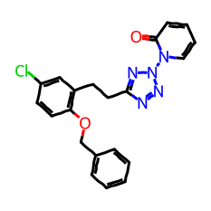 O=c1ccccn1-n1nnc(CCc2cc(Cl)ccc2OCc2ccccc2)n1